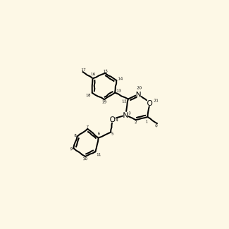 CC1=CN(OCc2ccccc2)C(c2ccc(C)cc2)=NO1